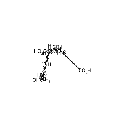 CN(C=O)C(=O)CNC(=O)COCCOCCNC(=O)COCCOCCNC(=O)[C@H](CCC(=O)O)NC(=O)CC[C@H](NC(=O)[C@H]1CC[C@H](CNC(=O)CCCCCCCCCCCCCCCCCCC(=O)O)CC1)C(=O)O